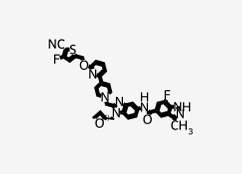 Cc1n[nH]c2c(F)cc(C(=O)Nc3ccc4c(c3)nc(CN3CC=C(c5cccc(OCc6cc(F)c(C#N)s6)n5)CC3)n4C[C@@H]3CCO3)cc12